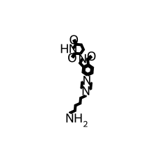 NCCCCCCN1CCN(c2ccc3c(c2)CN(C2CCC(=O)NC2=O)C3=O)CC1